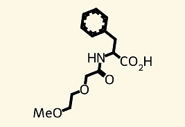 COCCOCC(=O)NC(Cc1ccccc1)C(=O)O